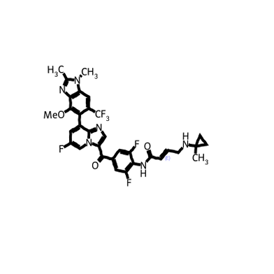 COc1c(-c2cc(F)cn3c(C(=O)c4cc(F)c(NC(=O)/C=C/CNC5(C)CC5)c(F)c4)cnc23)c(C(F)(F)F)cc2c1nc(C)n2C